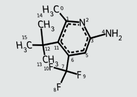 Cc1nc(N)cc(C(F)(F)F)c1C(C)(C)C